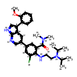 COc1ccccc1-c1c[nH]c2ncc(-c3cc(F)c(NCCN(C(C)C)C(C)C)c(C(=O)N(C)C)c3)cc12